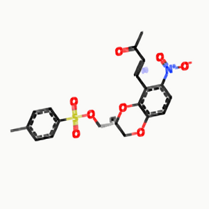 CC(=O)/C=C/c1c([N+](=O)[O-])ccc2c1O[C@@H](COS(=O)(=O)c1ccc(C)cc1)CO2